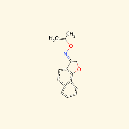 C=C(C)O/N=C1\COc2c1ccc1ccccc21